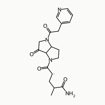 CC(C[CH]C(=O)N1CCC2C1C(=O)CN2C(=O)Cc1cccnc1)C(N)=O